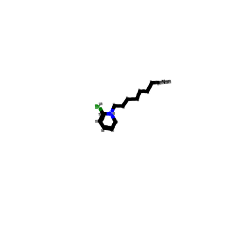 CCCCCCCCCCCCCCCCN1CC=CC=C1Br